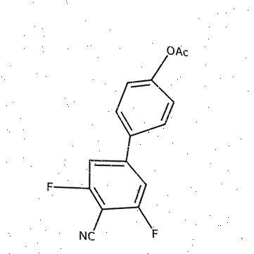 CC(=O)Oc1ccc(-c2cc(F)c(C#N)c(F)c2)cc1